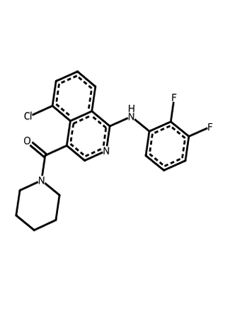 O=C(c1cnc(Nc2cccc(F)c2F)c2cccc(Cl)c12)N1CCCCC1